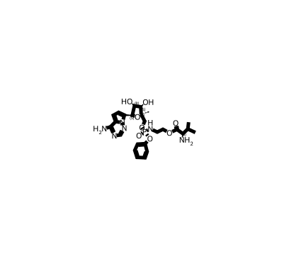 CC(C)[C@H](N)C(=O)OCCNP(=O)(OC[C@@]1(C)O[C@@H](c2ccc3c(N)ncnn23)[C@H](O)[C@@H]1O)Oc1ccccc1